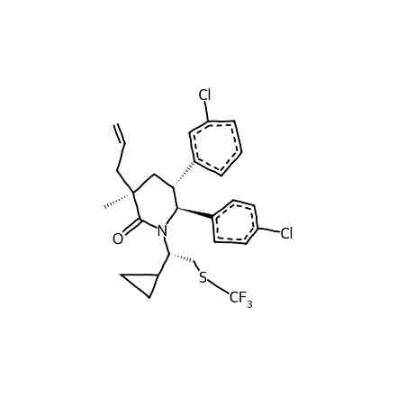 C=CC[C@@]1(C)C[C@H](c2cccc(Cl)c2)[C@@H](c2ccc(Cl)cc2)N([C@H](CSC(F)(F)F)C2CC2)C1=O